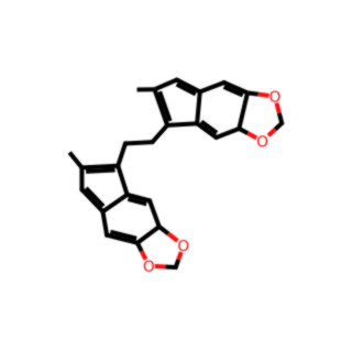 CC1=C(CCC2=C(C)C=C3C=C4OCOC4C=C32)C2=CC3OCOC3=CC2=C1